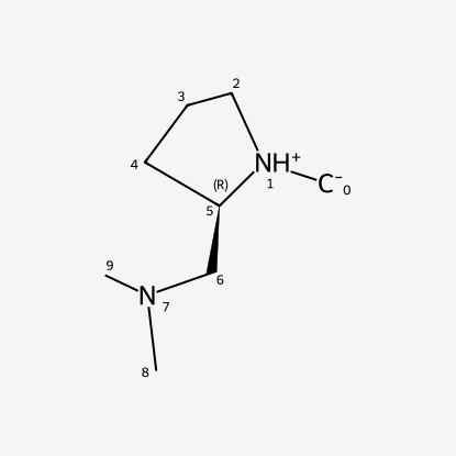 [CH2-][NH+]1CCC[C@@H]1CN(C)C